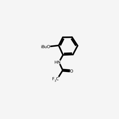 CC(C)COc1ccccc1NC(=O)C(F)(F)F